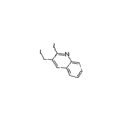 ICc1cc2ccccc2nc1I